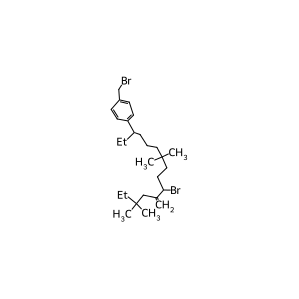 C=C(CC(C)(C)CC)C(Br)CCC(C)(C)CCCC(CC)c1ccc(CBr)cc1